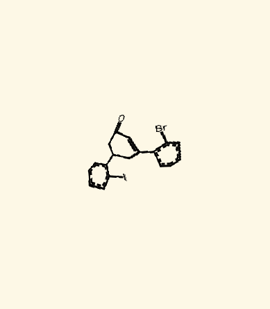 O=C1C=C(c2ccccc2Br)CC(c2ccccc2I)C1